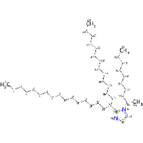 CCCCCCCCCCCCCCCCC(CCCCCCCCCCCCC)c1nccn1C(C)CCCCCCCC